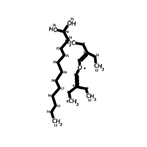 CCC(=COC=C(CC)CC)CC.CCCCCCCCCCCC(O)O